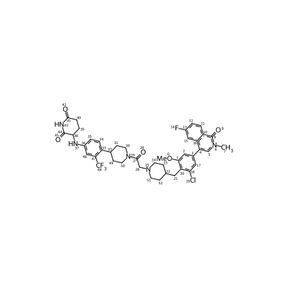 COc1cc(-c2cn(C)c(=O)c3ccc(F)cc23)cc(Cl)c1CC1CCN(CC(=O)N2CCC(c3ccc(NC4CCC(=O)NC4=O)cc3C(F)(F)F)CC2)CC1